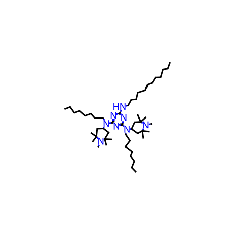 CCCCCCCCCCCCNc1nc(N(CCCCCCCC)C2CC(C)(C)N(C)C(C)(C)C2)nc(N(CCCCCCCC)C2CC(C)(C)N(C)C(C)(C)C2)n1